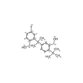 CC(C)(C)c1ccc(C(C)(C)c2cc(F)ccc2CO)cc1CO